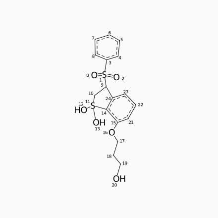 O=S(=O)(c1ccccc1)C1CS(O)(O)c2c(OCCCO)cccc21